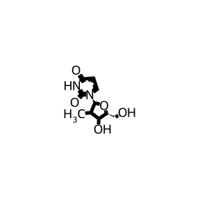 CC1C(O)[C@@H](CO)O[C@H]1n1ccc(=O)[nH]c1=O